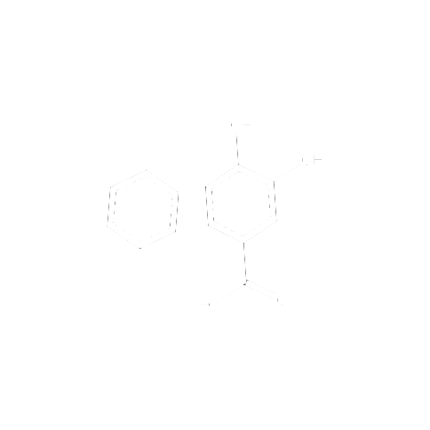 O=C(O)c1ccc(O)c(O)c1.c1ccccc1